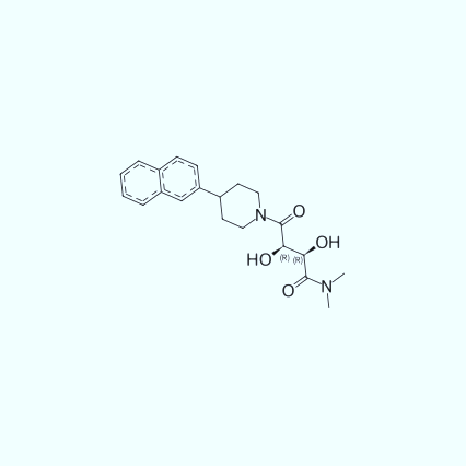 CN(C)C(=O)[C@H](O)[C@@H](O)C(=O)N1CCC(c2ccc3ccccc3c2)CC1